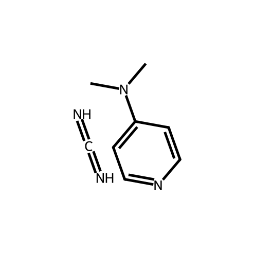 CN(C)c1ccncc1.N=C=N